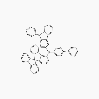 c1ccc(-c2ccc(N(c3ccc4c(c3)c3ccccc3n4-c3ccccc3)c3cccc4c3-c3ccccc3C43c4ccccc4-c4ccccc43)cc2)cc1